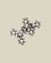 c1ccc(-c2cc(-c3cccc(-c4cccc5cc(-c6ccccc6)n6nc(-c7ccccc7)c(-c7ccccc7)c6c45)c3)cc(-c3ccccc3)n2)cc1